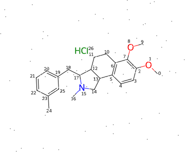 COc1ccc2c(c1OC)CCC1C2CN(C)C1Cc1cccc(C)c1.Cl